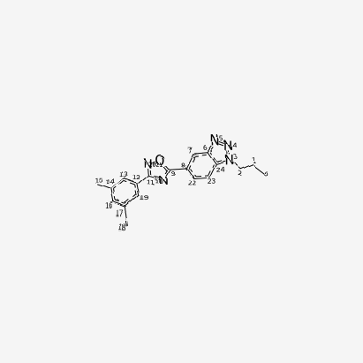 CCCn1nnc2cc(-c3nc(-c4cc(C)cc(C)c4)no3)ccc21